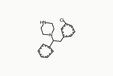 Clc1cccc(CC(c2ccccc2)N2CCNCC2)c1